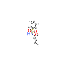 C=CCCC(=O)NS(=O)(=O)c1ccccc1